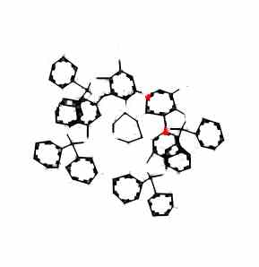 O=C(O)c1cc(O)c2c(c1[C@@H]1[C@H](c3c(C(=O)O)cc(O)c4c3OC(c3ccccc3)(c3ccccc3)O4)[C@@H](c3c(C(=O)O)cc(O)c4c3OC(c3ccccc3)(c3ccccc3)O4)OC[C@H]1c1c(C(=O)O)cc(O)c3c1OC(c1ccccc1)(c1ccccc1)O3)OC(c1ccccc1)(c1ccccc1)O2